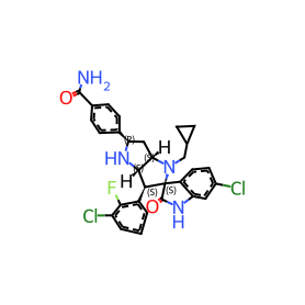 NC(=O)c1ccc([C@H]2C[C@H]3[C@@H](N2)[C@H](c2cccc(Cl)c2F)[C@]2(C(=O)Nc4cc(Cl)ccc42)N3CC2CC2)cc1